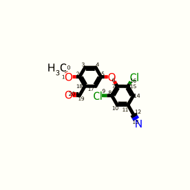 COc1ccc(Oc2c(Cl)cc(C#N)cc2Cl)cc1C=O